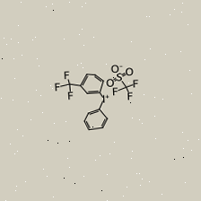 FC(F)(F)c1cccc([I+]c2ccccc2)c1.O=S(=O)([O-])C(F)(F)F